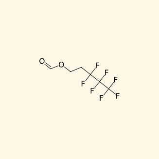 O=COCCC(F)(F)C(F)(F)C(F)(F)F